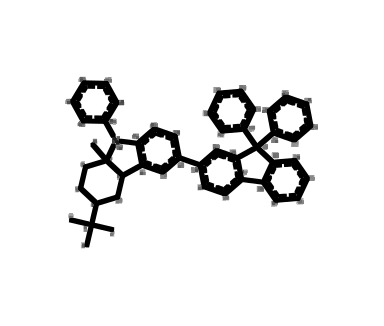 CC(C)(C)C1CCC2(C)C(C1)c1cc(-c3ccc4c(c3)C(c3ccccc3)(c3ccccc3)c3ccccc3-4)ccc1N2c1ccccc1